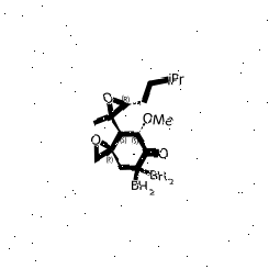 BC1(B)C[C@]2(CO2)[C@@H](C2(C)O[C@@H]2CCC(C)C)[C@H](OC)C1=O